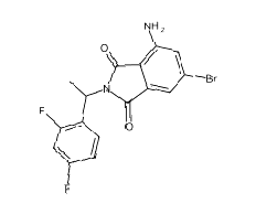 CC(c1ccc(F)cc1F)N1C(=O)c2cc(Br)cc(N)c2C1=O